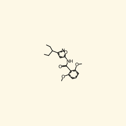 CCC(CC)c1cc(NC(=O)c2c(OC)cccc2OC)on1